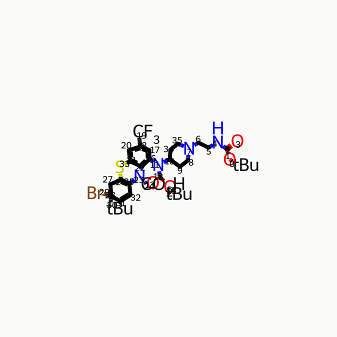 CC(C)(C)OC(=O)NCCN1CCC(N(C(=O)OC(C)(C)C)c2cc(C(F)(F)F)cc3c2N(C(=O)O)C2=C(CC(Br)(C(C)(C)C)C=C2)S3)CC1